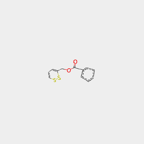 O=C(OCC1=CC=CSS1)c1ccccc1